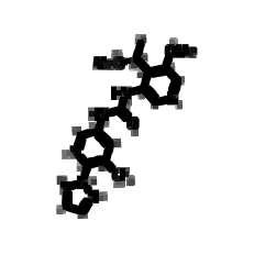 COc1cncc(NC(=O)Nc2cnc(-n3nccn3)c(C(F)(F)F)c2)c1[C@@H](C)OC